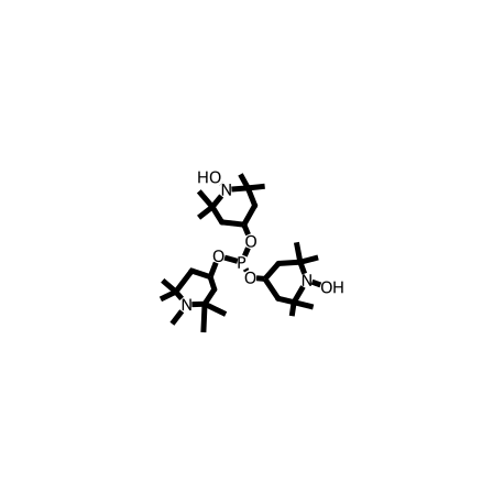 CN1C(C)(C)CC(OP(OC2CC(C)(C)N(O)C(C)(C)C2)OC2CC(C)(C)N(O)C(C)(C)C2)CC1(C)C